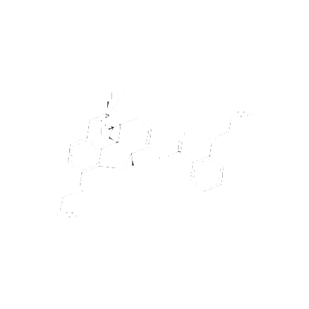 COCOc1ccccc1C(=O)OC1=CC[C@H]2[C@H]3Cc4ccc(OCOC)c5c4[C@@]2(CCN3C)[C@H]1O5